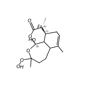 CC[C@]12CC=C(C)C3CCC(C)(OO)O[C@@](O)(OC(=O)[C@@H]1C)C32